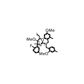 COc1ccc(CN(Cc2ccc(C)cc2OC)C2=N[C@](C)(c3ccccc3F)[C@@H](OC)[C@@H](CI)O2)c(C)c1